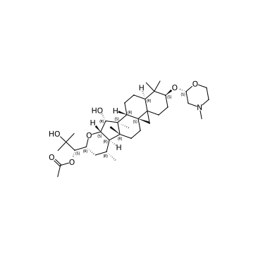 CC(=O)O[C@@H]([C@H]1C[C@@H](C)[C@H]2[C@H](O1)[C@H](O)[C@@]1(C)[C@@H]3CC[C@H]4C(C)(C)[C@@H](O[C@H]5CN(C)CCO5)CCC45C[C@@]35CC[C@]21C)C(C)(C)O